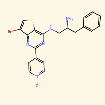 N[C@H](CNc1nc(-c2cc[n+]([O-])cc2)nc2c(Br)csc12)Cc1ccccc1